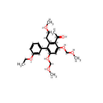 CCOc1cccc(-c2c(OCOC)cc(OCOC)c(C(C)=O)c2CCOC)c1